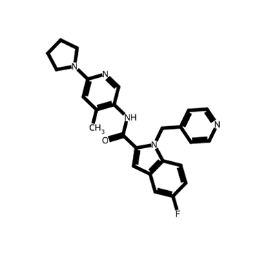 Cc1cc(N2CCCC2)ncc1NC(=O)c1cc2cc(F)ccc2n1Cc1ccncc1